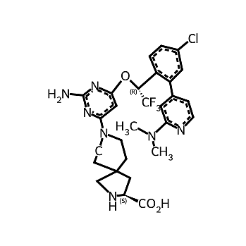 CN(C)c1cc(-c2cc(Cl)ccc2[C@@H](Oc2cc(N3CCC4(CC3)CN[C@H](C(=O)O)C4)nc(N)n2)C(F)(F)F)ccn1